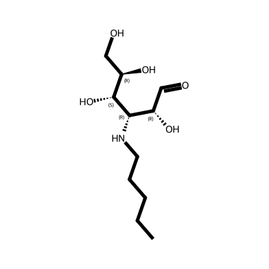 CCCCCN[C@H]([C@H](O)[C@H](O)CO)[C@@H](O)C=O